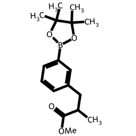 COC(=O)C(C)Cc1cccc(B2OC(C)(C)C(C)(C)O2)c1